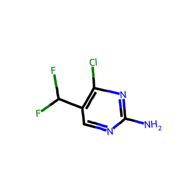 Nc1ncc(C(F)F)c(Cl)n1